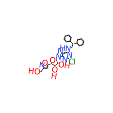 OCc1cc([C@H]2O[C@@H](n3cnc4c(NCC(c5ccccc5)c5ccccc5)nc(Cl)nc43)[C@H](O)[C@@H]2O)on1